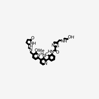 COc1nc(-c2ccnc(-c3cccc(NC(=O)c4ncc(CNCCO)s4)c3C)c2Cl)ccc1CNC[C@H]1CCC(=O)N1